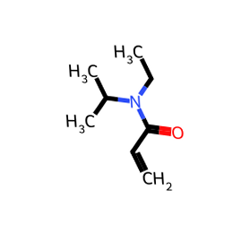 C=CC(=O)N(CC)C(C)C